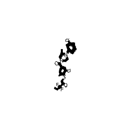 CCC(F)(F)C(=O)CSc1ccc(C(=O)N2CCN(c3cccc(Cl)c3)C(C)C2)cc1Cl